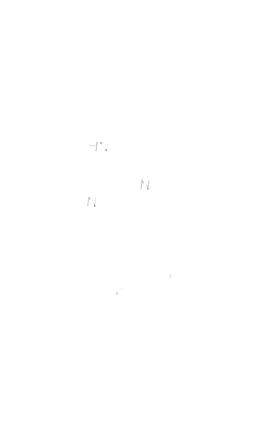 CCOC(=O)c1cnc(NC(CC)COC)nc1